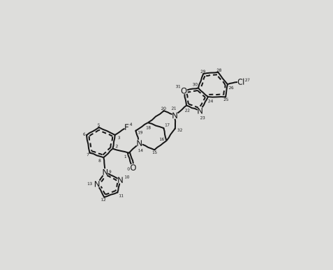 O=C(c1c(F)cccc1-n1nccn1)N1CC2CC(C1)CN(c1nc3cc(Cl)ccc3o1)C2